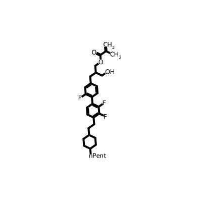 C=C(C)C(=O)OCC(CO)Cc1ccc(-c2ccc(CCC3CCC(CCCCC)CC3)c(F)c2F)c(F)c1